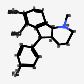 COc1ccc2c(c1OC)C(c1ccc(C(F)(F)F)cc1)C1CCCN(C)C21